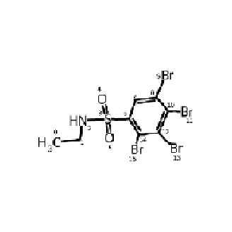 CCNS(=O)(=O)c1cc(Br)c(Br)c(Br)c1Br